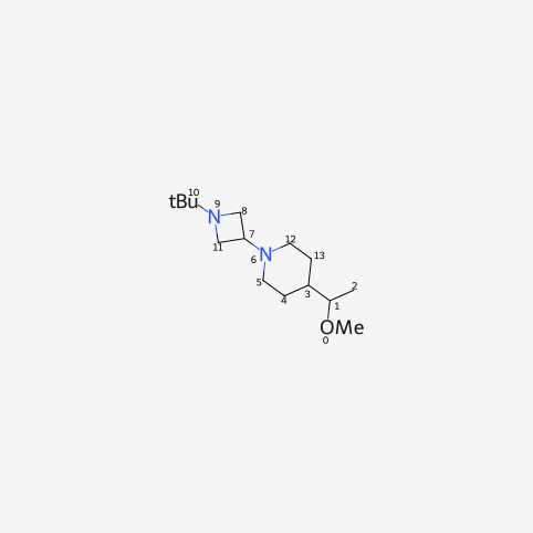 COC(C)C1CCN(C2CN(C(C)(C)C)C2)CC1